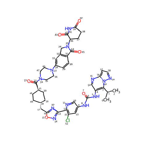 CC(C)c1c(NC(=O)Nc2cnc(-c3noc(C[C@H]4CC[C@H](C(=O)N5CCN(c6ccc7c(c6)CN(C6CCC(=O)NC6=O)C7=O)CC5)CC4)n3)c(Cl)c2)cnc2ccnn12